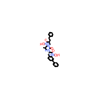 CC(C)CN(CC(CCc1ccccc1)C(=O)NO)C(=O)N[C@@H](Cc1ccc(-c2ccccc2)cc1)C(=O)NO